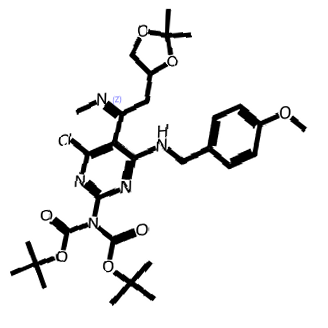 C/N=C(/CC1COC(C)(C)O1)c1c(Cl)nc(N(C(=O)OC(C)(C)C)C(=O)OC(C)(C)C)nc1NCc1ccc(OC)cc1